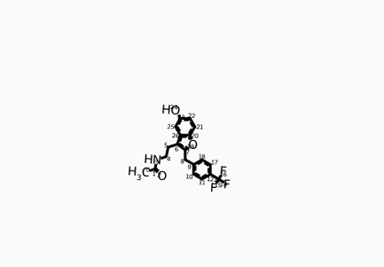 CC(=O)NCCc1c(Cc2ccc(C(F)(F)F)cc2)oc2ccc(O)cc12